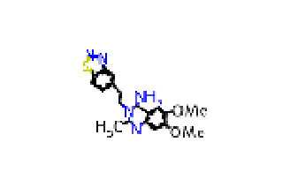 COc1cc2c(cc1OC)C(N)N(CCc1ccc3snnc3c1)C(C)=N2